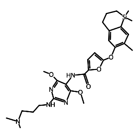 COc1nc(NCCCN(C)C)nc(OC)c1NC(=O)c1ccc(Oc2cc3c(cc2C)[Si](C)(C)CCC3)o1